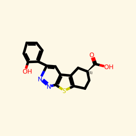 O=C(O)[C@H]1CCc2sc3nnc(-c4ccccc4O)cc3c2C1